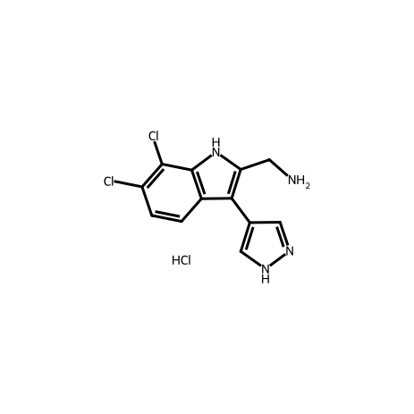 Cl.NCc1[nH]c2c(Cl)c(Cl)ccc2c1-c1cn[nH]c1